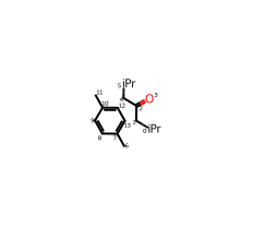 CC(C)CC(=O)CC(C)C.Cc1ccc(C)cc1